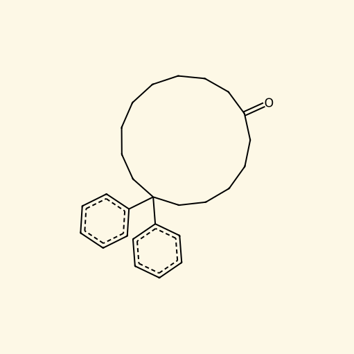 O=C1CCCCCCCCC(c2ccccc2)(c2ccccc2)CCCCC1